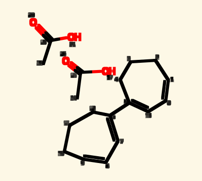 C1=CCCCC(C2=CC=CCCC2)=C1.CC(=O)O.CC(=O)O